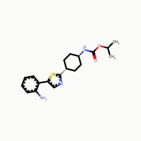 CC(C)OC(=O)N[C@H]1CC[C@H](c2ncc(-c3ccccc3N)s2)CC1